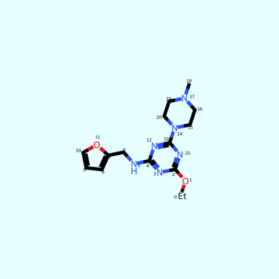 CCOc1nc(NCc2ccco2)nc(N2CCN(C)CC2)n1